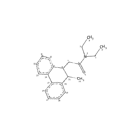 CCN(CC)C(=O)CC1c2ccccc2-c2ccccc2C1C